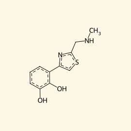 CNCc1nc(-c2cccc(O)c2O)cs1